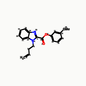 C=CCCn1c(C(=O)Oc2cccc(OC)c2)nc2ccccc21